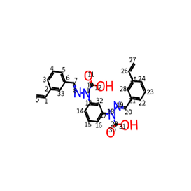 C=Cc1cccc(C=NN(C(=O)O)c2cccc(N(N=Cc3cccc(C=C)c3)C(=O)O)c2)c1